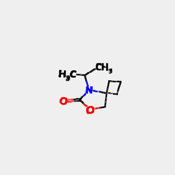 CC(C)N1C(=O)OCC12CCC2